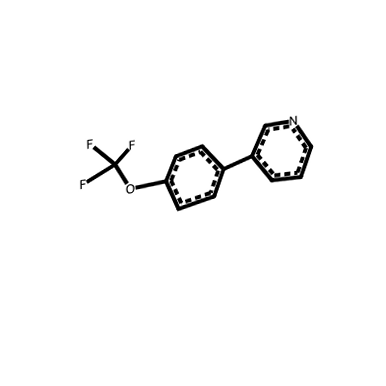 FC(F)(F)Oc1ccc(-c2cccnc2)cc1